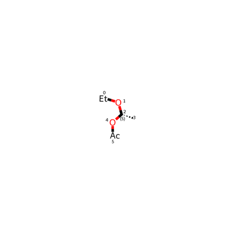 CCO[C@H](C)OC(C)=O